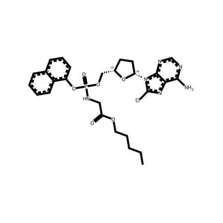 CCCCCOC(=O)CNP(=O)(OC[C@@H]1CC[C@H](n2c(Cl)nc3c(N)ncnc32)O1)Oc1cccc2ccccc12